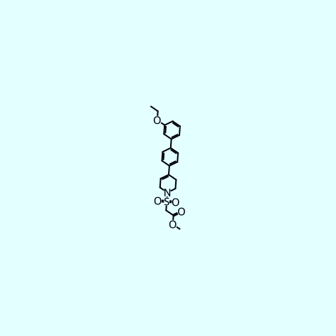 CCOc1cccc(-c2ccc(C3=CCN(S(=O)(=O)CC(=O)OC)CC3)cc2)c1